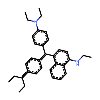 CCNc1ccc(C(c2ccc(N(CC)CC)cc2)=c2ccc(=C(CC)CC)cc2)c2ccccc12